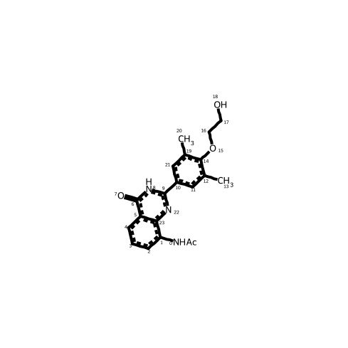 CC(=O)Nc1cccc2c(=O)[nH]c(-c3cc(C)c(OCCO)c(C)c3)nc12